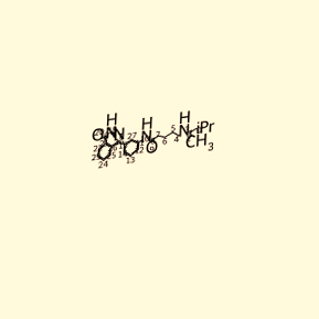 CC(C)C(C)NCCCCC(=O)Nc1cccc(-c2n[nH]c(=O)c3ccccc23)c1